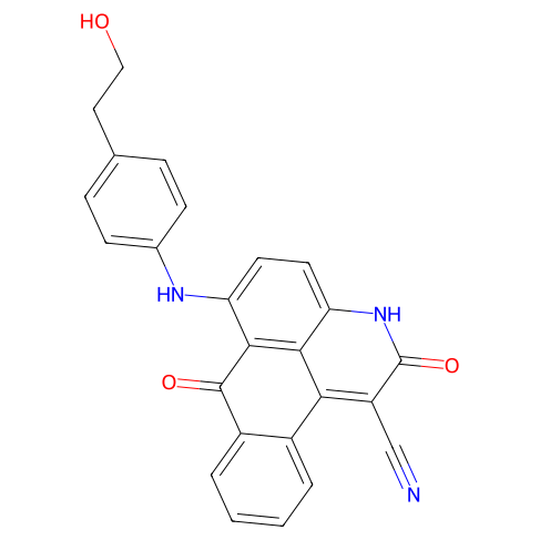 N#Cc1c2c3c(c(Nc4ccc(CCO)cc4)ccc3[nH]c1=O)C(=O)c1ccccc1-2